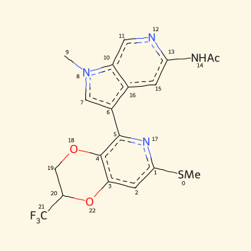 CSc1cc2c(c(-c3cn(C)c4cnc(NC(C)=O)cc34)n1)OCC(C(F)(F)F)O2